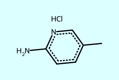 Cc1ccc(N)nc1.Cl